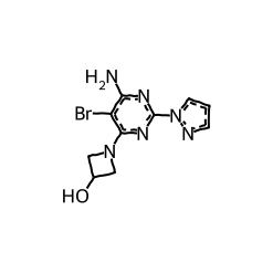 Nc1nc(-n2cccn2)nc(N2CC(O)C2)c1Br